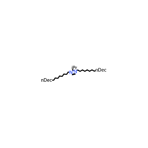 CCCCCCCCCCCCCCCCCCN1C=CN(CCCCCCCCCCCCCCCCCC)C1C(C)C